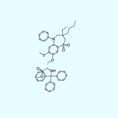 CCCCC1(CC)CN(c2ccccc2)c2cc(SC)c(OC[C@H](NC(c3ccccc3)(c3ccccc3)c3ccccc3)C(=O)OC)cc2S(=O)(=O)C1